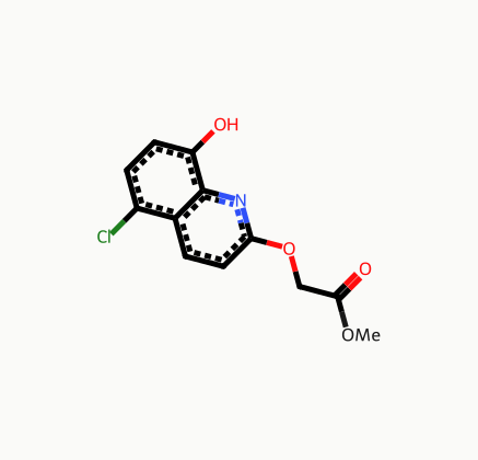 COC(=O)COc1ccc2c(Cl)ccc(O)c2n1